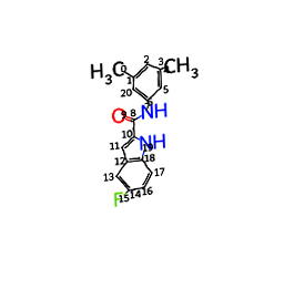 Cc1cc(C)cc(NC(=O)c2cc3cc(F)ccc3[nH]2)c1